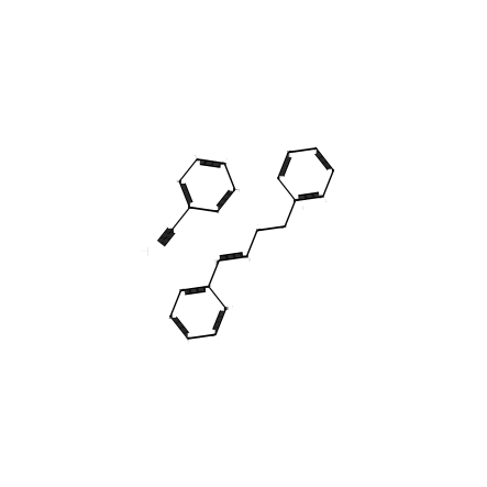 C#Cc1ccccc1.C(=Cc1ccccc1)CCc1ccccc1